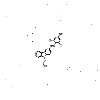 O=[N+]([O-])c1cc(Cl)c(/N=N/c2ccc3c(c2)c2ccccc2n3CCO)c(Cl)c1